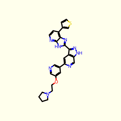 c1cc(-c2ccsc2)c2nc(-c3n[nH]c4cnc(-c5cncc(OCCN6CCCC6)c5)cc34)[nH]c2n1